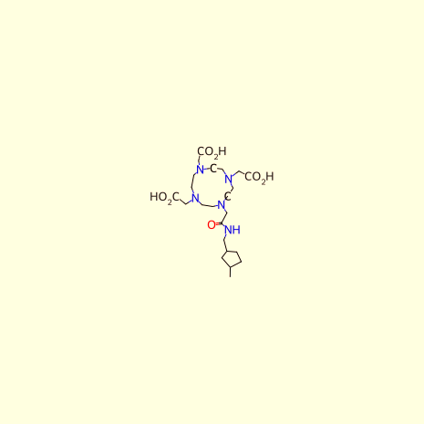 CC1CCC(CNC(=O)CN2CCN(CC(=O)O)CCN(CC(=O)O)CCN(CC(=O)O)CC2)C1